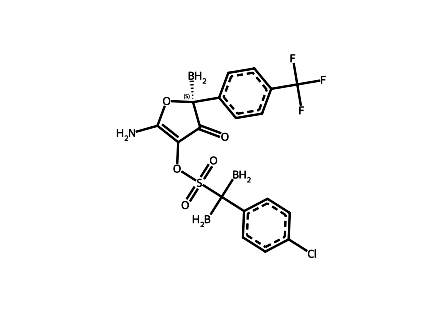 BC(B)(c1ccc(Cl)cc1)S(=O)(=O)OC1=C(N)O[C@@](B)(c2ccc(C(F)(F)F)cc2)C1=O